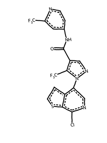 O=C(Nc1ccnc(C(F)(F)F)c1)c1cnn(-c2cnc(Cl)c3sccc23)c1C(F)(F)F